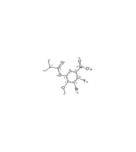 COc1c(OC(=O)C(C)C)cc([N+](=O)[O-])c(F)c1Br